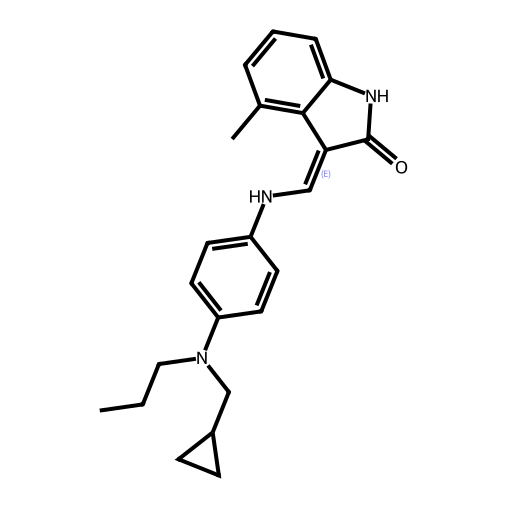 CCCN(CC1CC1)c1ccc(N/C=C2/C(=O)Nc3cccc(C)c32)cc1